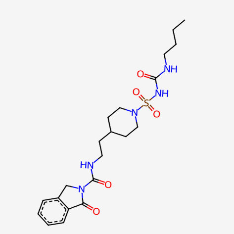 CCCCNC(=O)NS(=O)(=O)N1CCC(CCNC(=O)N2Cc3ccccc3C2=O)CC1